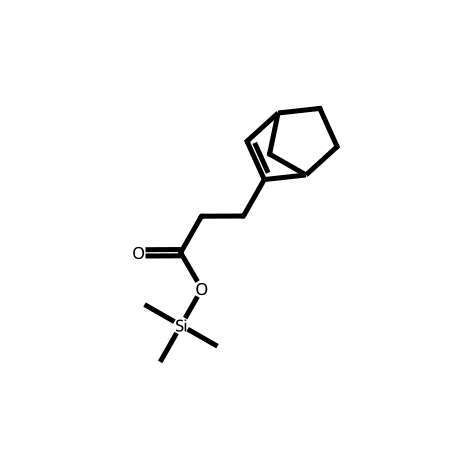 C[Si](C)(C)OC(=O)CCC1=CC2CCC1C2